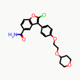 NC(=O)c1ccc2oc(Cl)c(-c3ccc(OCCOC4CCOCC4)cc3)c2c1